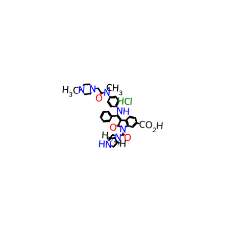 CN1CCN(CC(=O)N(C)c2ccc(NC(=C3C(=O)N(C(=O)N4C[C@@H]5C[C@H]4CN5)c4cc(C(=O)O)ccc43)c3ccccc3)cc2)CC1.Cl